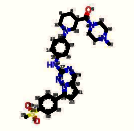 CN1CCN(C(=O)C2CCCN(c3ccc(Nc4ncc5ccc(-c6ccc(S(C)(=O)=O)cc6)n5n4)cc3)C2)CC1